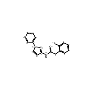 O=C(Cc1ccccc1F)Nc1ccn(-c2cccnc2)n1